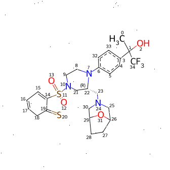 CC(O)(c1ccc(N2CCN(S(=O)(=O)C3=CC=CCC3=S)C[C@H]2CN2CC3CCC(C2)O3)cc1)C(F)(F)F